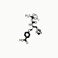 CC(C)(C)OC(=O)N[C@@H](COc1ccc(C(=O)O)cc1)Cn1ncnn1